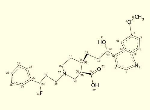 COc1ccc2nccc([C@@H](O)CC[C@@H]3CCN(CCC(F)c4ccccc4)C[C@@H]3C(=O)O)c2c1